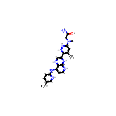 CN(CC(N)=O)c1cc(C(F)(F)F)c(-c2cnc3c(Nc4ccc(C(F)(F)F)cn4)ccnc3n2)nn1